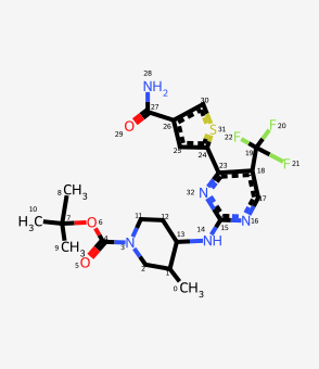 CC1CN(C(=O)OC(C)(C)C)CCC1Nc1ncc(C(F)(F)F)c(-c2cc(C(N)=O)cs2)n1